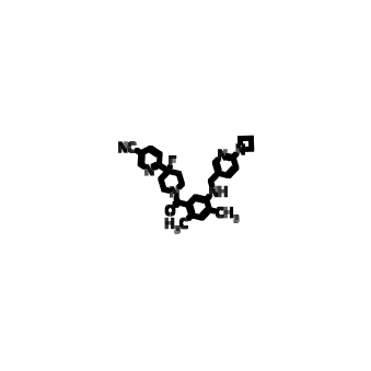 Cc1cc(C)c(C(=O)N2CCC(F)(c3ccc(C#N)cn3)CC2)cc1NCc1ccc(N2CCC2)nc1